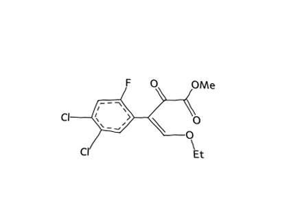 CCOC=C(C(=O)C(=O)OC)c1cc(Cl)c(Cl)cc1F